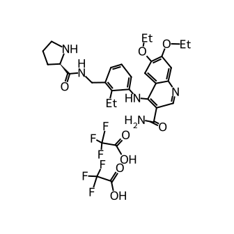 CCOc1cc2ncc(C(N)=O)c(Nc3cccc(CNC(=O)[C@H]4CCCN4)c3CC)c2cc1OCC.O=C(O)C(F)(F)F.O=C(O)C(F)(F)F